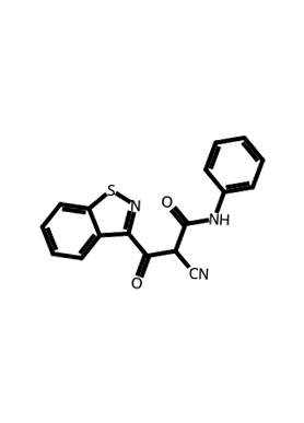 N#CC(C(=O)Nc1ccccc1)C(=O)c1nsc2ccccc12